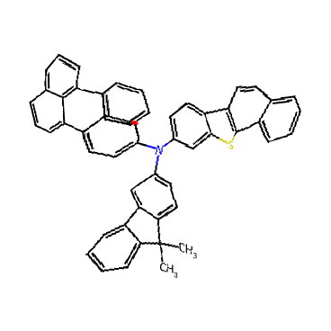 CC1(C)c2ccccc2-c2cc(N(c3ccc(-c4cccc5cccc(-c6ccccc6)c45)cc3)c3ccc4c(c3)sc3c5ccccc5ccc43)ccc21